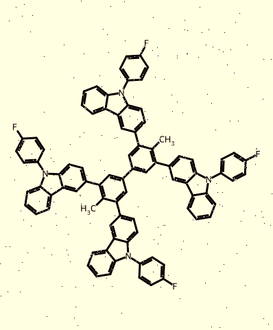 Cc1c(-c2ccc3c(c2)c2ccccc2n3-c2ccc(F)cc2)cc(-c2cc(-c3ccc4c(c3)c3ccccc3n4-c3ccc(F)cc3)c(C)c(-c3ccc4c(c3)c3ccccc3n4-c3ccc(F)cc3)c2)cc1-c1ccc2c(c1)c1ccccc1n2-c1ccc(F)cc1